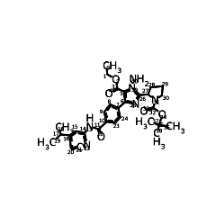 CCOC(=O)c1c(-c2ccc(C(=O)Nc3cc(C(C)C)ccn3)cc2)nc(C2CCCN2C(=O)OC(C)(C)C)n1N